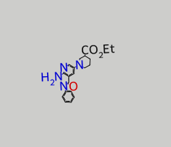 CCOC(=O)C1CCCN(c2cnc(N)c(-c3nc4ccccc4o3)c2)C1